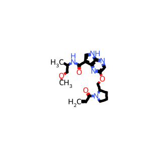 C=CC(=O)N1CCCC1COc1cnc2[nH]cc(C(=O)NC(C)COC)c2n1